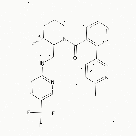 Cc1ccc(-c2ccc(C)nc2)c(C(=O)N2CCC[C@@H](C)C2CNc2ccc(C(F)(F)F)cn2)c1